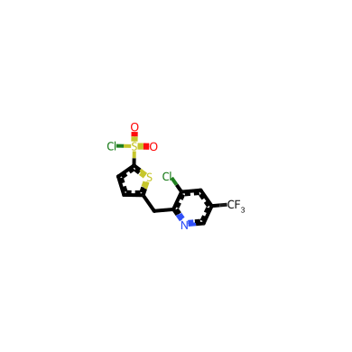 O=S(=O)(Cl)c1ccc(Cc2ncc(C(F)(F)F)cc2Cl)s1